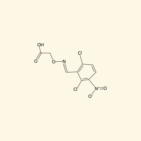 O=C(O)CON=Cc1c(Cl)ccc([N+](=O)[O-])c1Cl